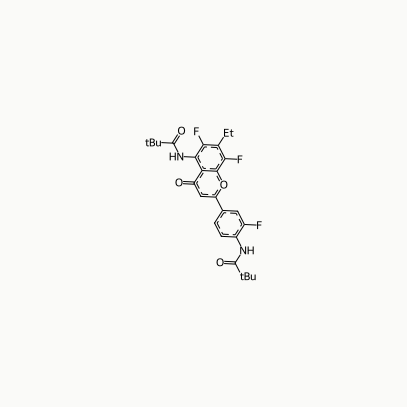 CCc1c(F)c(NC(=O)C(C)(C)C)c2c(=O)cc(-c3ccc(NC(=O)C(C)(C)C)c(F)c3)oc2c1F